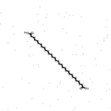 O=C(O)CCCCCCCCCCCCCCCCCCCCCCCCCCCCCCC(=S)S